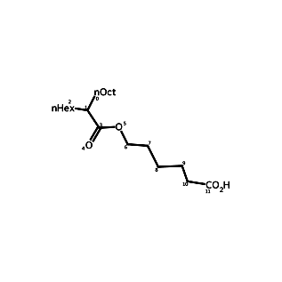 CCCCCCCCC(CCCCCC)C(=O)OCCCCCC(=O)O